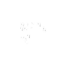 CCN(C[C@@H]1CN(C2CCCCCCC2)C(=O)O1)S(=O)(=O)c1ccc(CN2CCN(C)CC2)cc1